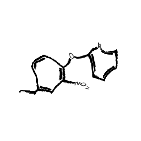 Cc1ccc(Oc2ccccn2)c([N+](=O)[O-])c1